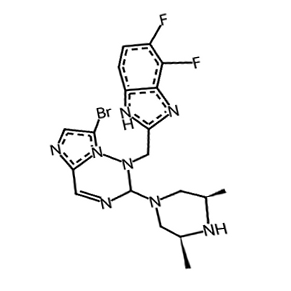 C[C@@H]1CN(C2N=Cc3ncc(Br)n3N2Cc2nc3c(F)c(F)ccc3[nH]2)C[C@H](C)N1